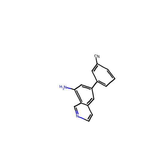 N#Cc1cccc(-c2cc(N)c3cnccc3c2)c1